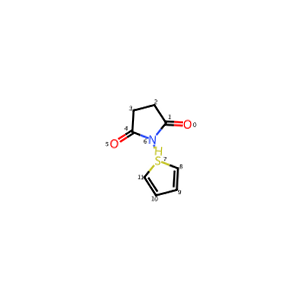 O=C1CCC(=O)N1[SH]1C=CC=C1